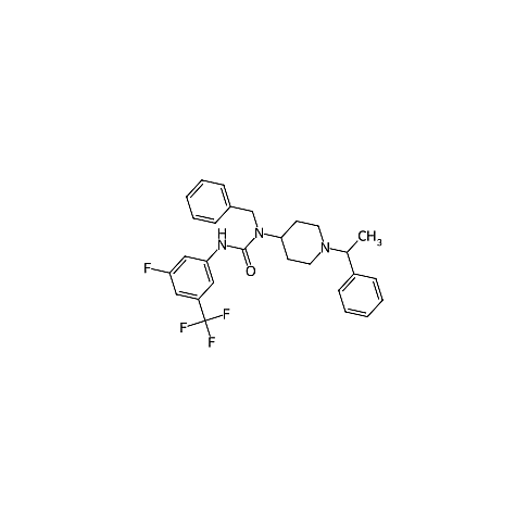 CC(c1ccccc1)N1CCC(N(Cc2ccccc2)C(=O)Nc2cc(F)cc(C(F)(F)F)c2)CC1